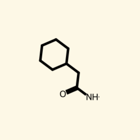 [NH]C(=O)CC1CCCCC1